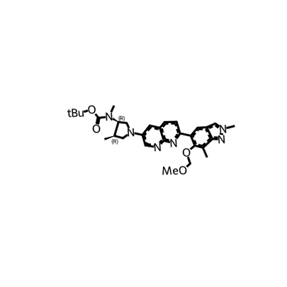 COCOc1c(-c2ccc3cc(N4C[C@@H](C)[C@@H](N(C)C(=O)OC(C)(C)C)C4)cnc3n2)cc2cn(C)nc2c1C